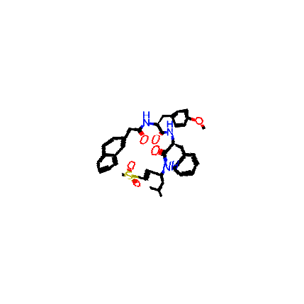 COc1ccc(C[C@H](NC(=O)Cc2ccc3ccccc3c2)C(=O)N[C@@H](Cc2ccccc2)C(=O)NC(/C=C/S(C)(=O)=O)CC(C)C)cc1